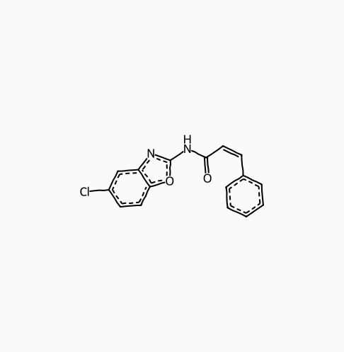 O=C(/C=C\c1ccccc1)Nc1nc2cc(Cl)ccc2o1